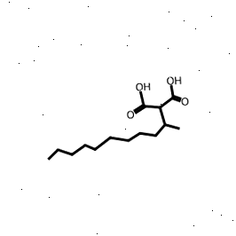 CCCCCCCCCC(C)C(C(=O)O)C(=O)O